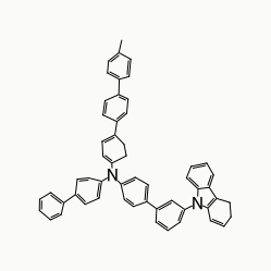 Cc1ccc(-c2ccc(C3=CC=C(N(c4ccc(-c5ccccc5)cc4)c4ccc(-c5cccc(-n6c7c(c8ccccc86)CCC=C7)c5)cc4)CC3)cc2)cc1